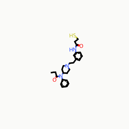 CCC(=O)N(c1ccccc1)C1CCN(CCc2cccc(NC(=O)CCS)c2)CC1